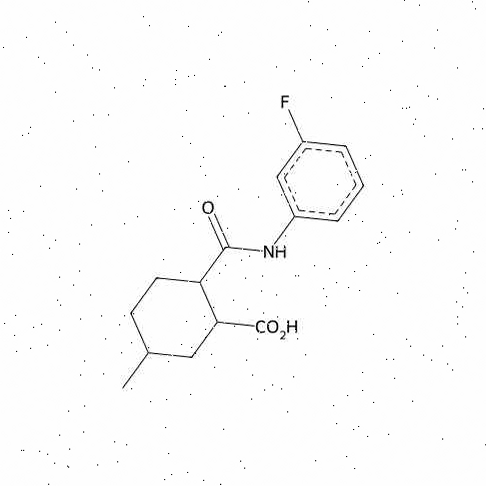 CC1CCC(C(=O)Nc2cccc(F)c2)C(C(=O)O)C1